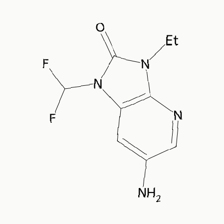 CCn1c(=O)n(C(F)F)c2cc(N)cnc21